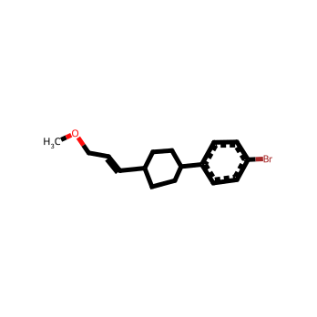 COCC=CC1CCC(c2ccc(Br)cc2)CC1